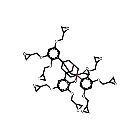 c1c(OCC2CO2)cc(C23CC4CC(c5cc(OCC6CO6)cc(OCC6CO6)c5OCC5CO5)(C2)CC(c2cc(OCC5CO5)cc(OCC5CO5)c2OCC2CO2)(C4)C3)c(OCC2CO2)c1OCC1CO1